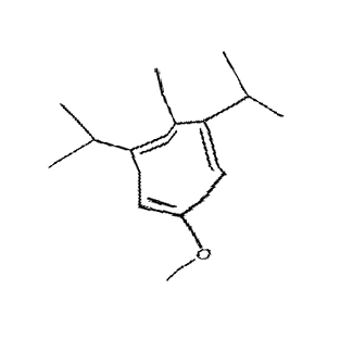 COc1cc(C(C)C)c(C)c(C(C)C)c1